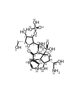 N=C(C1O[C@H](CO)[C@@H](O)[C@H]1OP(=O)(O)O)N(C(=O)c1c[nH]cn1)C1(P(=O)(O)O)O[C@H](C(N)O)[C@@H](O)[C@H]1O